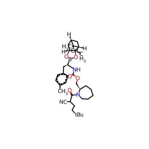 Cc1ccc(C[C@H](NC(=O)OC[C@H]2CCCCCN2C(=O)C(C#N)CCC(C)(C)C)B2O[C@@H]3C[C@@H]4C[C@@H](C4(C)C)[C@]3(C)O2)cc1